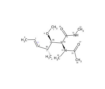 C/C=C/[C@@H](C)[C@@H](OC)[C@@H](C(=O)NC)N(C)C(C)=O